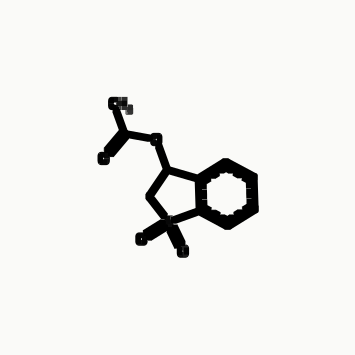 CC(=O)OC1CS(=O)(=O)c2ccccc21